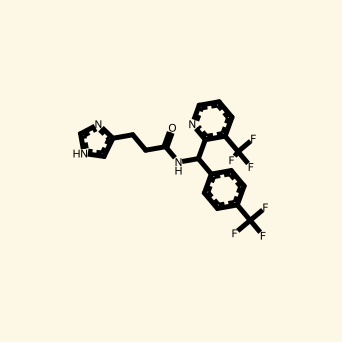 O=C(CCc1c[nH]cn1)NC(c1ccc(C(F)(F)F)cc1)c1ncccc1C(F)(F)F